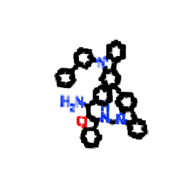 NC(C1=C(NCn2c3ccccc3c3ccc(-c4ccc5c(c4)c4ccccc4n5-c4cccc(-c5ccccc5)c4)cc32)C2C=CC=CC2O1)c1ccccc1